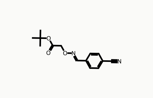 CC(C)(C)OC(=O)CON=Cc1ccc(C#N)cc1